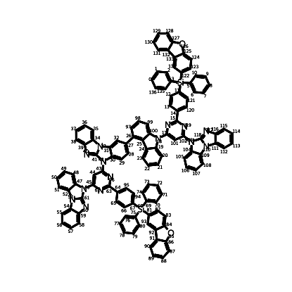 c1ccc([Si](c2ccccc2)(c2ccc(-c3nc(-n4c5ccccc5c5c(-c6ccc7c(c6)n6c8ccccc8nc6n7-c6cc(-n7c8ccccc8n8c9ccccc9nc78)nc(-c7ccc([Si](c8ccccc8)(c8ccccc8)c8ccc9oc%10ccccc%10c9c8)cc7)n6)cccc54)cc(-n4c5ccccc5n5c6ccccc6nc45)n3)cc2)c2ccc3oc4ccccc4c3c2)cc1